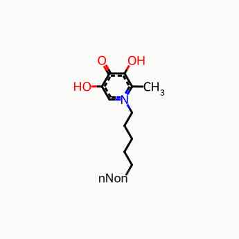 CCCCCCCCCCCCCCn1cc(O)c(=O)c(O)c1C